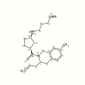 C=CCC1Cc2ccc(C(F)(F)F)cc2CN1C(=O)[C@H]1CC[C@@H](NCCCOC)C1